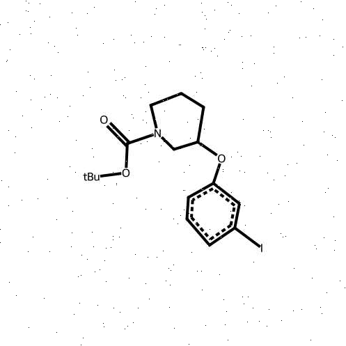 CC(C)(C)OC(=O)N1CCCC(Oc2cccc(I)c2)C1